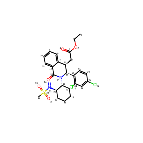 CCOC(=O)C[C@@H]1c2ccccc2C(=O)N([C@@H]2CCCC[C@H]2NS(C)(=O)=O)[C@H]1c1ccc(Cl)cc1Cl